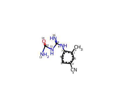 Cc1cc(C#N)ccc1NC(=N)NC(N)=O